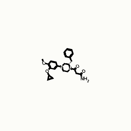 COc1ccc(N2CCN(C(=O)CC(N)=O)[C@@H](Cc3ccccc3)C2)cc1OC1CC1